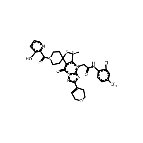 C[C@@H]1SC2(CCN(C(=O)c3ncccc3O)CC2)c2c1n(CC(=O)Nc1ccc(C(F)(F)F)cc1Cl)c1nc(C3=CCOCC3)nn1c2=O